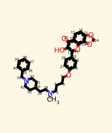 CN(CCCCOc1ccc(-c2oc3c4c(ccc3c(=O)c2O)OCO4)cc1)CCC1CCN(Cc2ccccc2)CC1